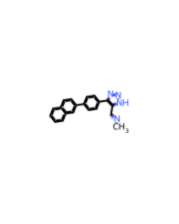 C/N=C/c1[nH]nnc1-c1ccc(-c2ccc3ccccc3c2)cc1